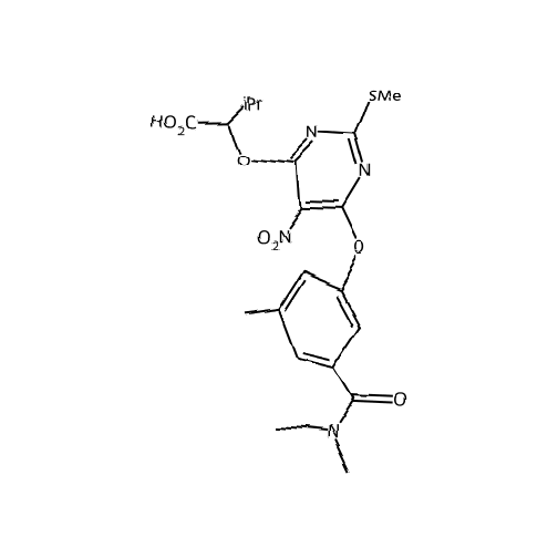 CSc1nc(Oc2cc(C)cc(C(=O)N(C)C)c2)c([N+](=O)[O-])c(OC(C(=O)O)C(C)C)n1